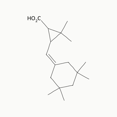 CC1(C)CC(=CC2C(C(=O)O)C2(C)C)CC(C)(C)C1